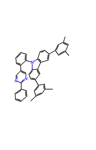 Cc1cc(C)cc(-c2ccc3c(c2)c2cc(-c4cc(C)cc(C)c4)ccc2n3-c2ccccc2-c2cnc(-c3ccccc3)nc2)c1